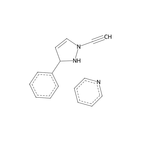 C#CN1C=CC(c2ccccc2)N1.c1ccncc1